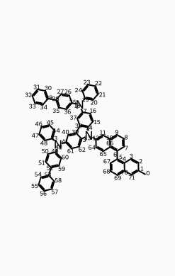 Cc1ccc2c(-c3cccc4cc(-n5c6ccc(N(c7ccccc7)c7ccc(-c8ccccc8)cc7)cc6c6cc(N(c7ccccc7)c7ccc(-c8ccccc8)cc7)ccc65)ccc34)cccc2c1